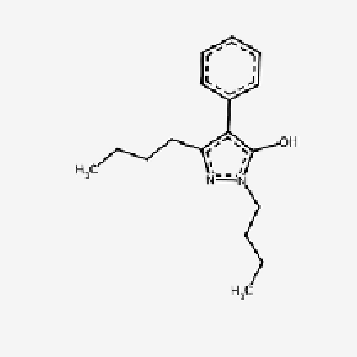 CCCCc1nn(CCCC)c(O)c1-c1ccccc1